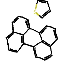 c1cc2cccc3c4cccc5cccc(c(c1)c23)c54.c1ccsc1